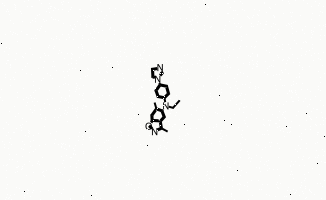 CCN(c1ccc(-n2ccnc2)cc1)c1cc2c(C)noc2cc1C